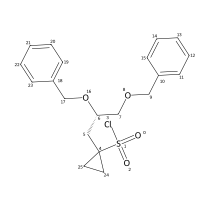 O=S(=O)(Cl)C1(C[C@@H](COCc2ccccc2)OCc2ccccc2)CC1